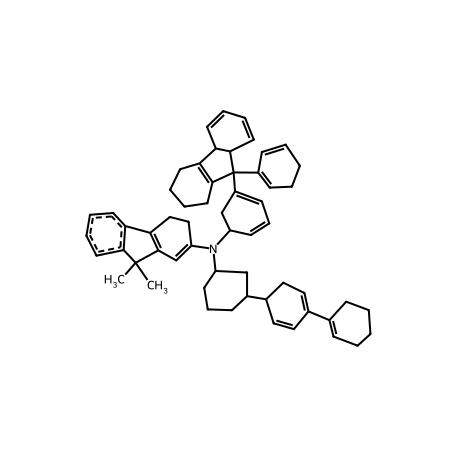 CC1(C)C2=C(CCC(N(C3C=CC=C(C4(C5=CCCC=C5)C5=C(CCCC5)C5C=CC=CC54)C3)C3CCCC(C4C=CC(C5=CCCCC5)=CC4)C3)=C2)c2ccccc21